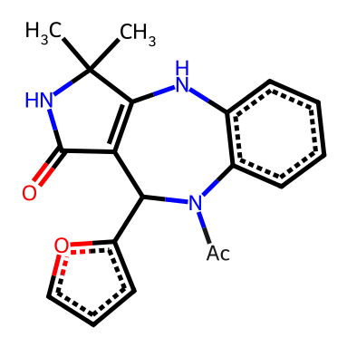 CC(=O)N1c2ccccc2NC2=C(C(=O)NC2(C)C)C1c1ccco1